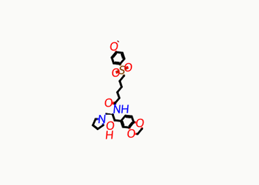 COc1ccc(S(=O)(=O)CCCCCC(=O)N[C@H](CN2CCCC2)[C@H](O)c2ccc3c(c2)OCCO3)cc1